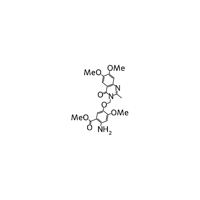 COC(=O)c1cc(OCn2c(C)nc3cc(OC)c(OC)cc3c2=O)c(OC)cc1N